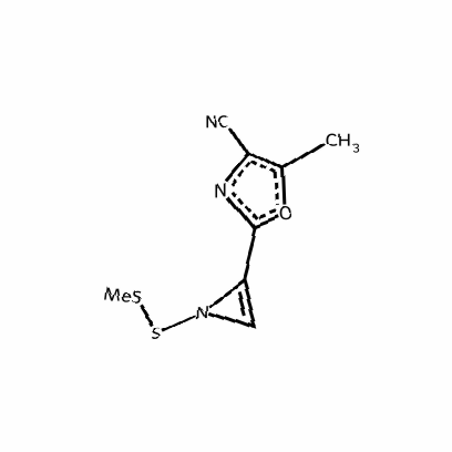 CSSN1C=C1c1nc(C#N)c(C)o1